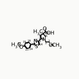 COCCN1CC(C)(C(=O)O)C=C1c1csc(-c2ccc(OC)cc2)n1